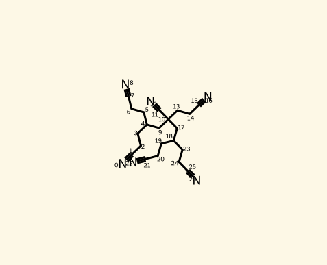 N#CCCC(CCC#N)CC(C#N)(CCC#N)CC(CCC#N)CCC#N